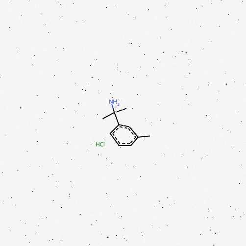 Cc1cccc(C(C)(C)N)c1.Cl